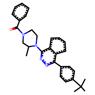 CC1CN(C(=O)c2ccccc2)CCN1c1nnc(-c2ccc(C(C)(C)C)cc2)c2ccccc12